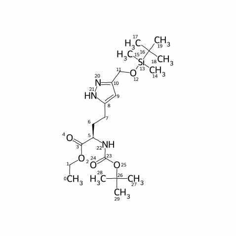 CCOC(=O)[C@@H](CCc1cc(CO[Si](C)(C)C(C)(C)C)n[nH]1)NC(=O)OC(C)(C)C